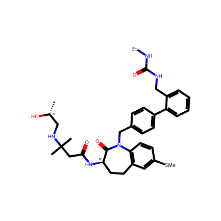 CCNC(=O)NCc1ccccc1-c1ccc(CN2C(=O)[C@H](NC(=O)CC(C)(C)NC[C@@H](C)O)CCc3cc(SC)ccc32)cc1